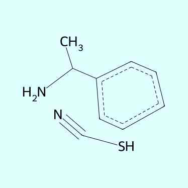 CC(N)c1ccccc1.N#CS